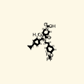 CN1C(c2ccc(C3CC3)cc2)N(CCc2ccc(OC(F)(F)F)cc2)C(=O)C12CCN(C(=O)O)CC2